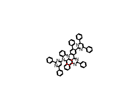 c1ccc(-c2cc(-c3cc(-c4nc(-c5ccccc5)cc(-c5ccccc5)n4)c(-c4ccccc4)cc3N3c4ccccc4N(c4cc(-c5ccccc5)nc(-c5ccccc5)n4)c4ccccc43)nc(-c3ccccc3)n2)cc1